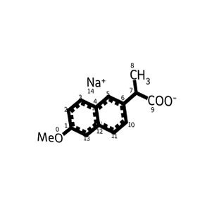 COc1ccc2cc(C(C)C(=O)[O-])ccc2c1.[Na+]